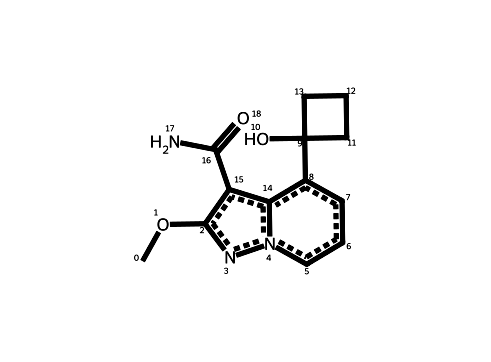 COc1nn2cccc(C3(O)CCC3)c2c1C(N)=O